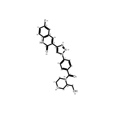 O=C(c1ccc(-n2cc(-c3cc4cc(F)ccc4[nH]c3=O)nn2)cc1)N1CCOCC1CO